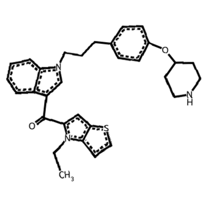 CCn1c(C(=O)c2cn(CCCc3ccc(OC4CCNCC4)cc3)c3ccccc23)cc2sccc21